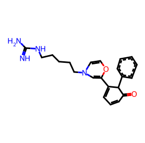 N=C(N)NCCCCCN1C=COC(C2=CC=CC(=O)C2c2ccccc2)=C1